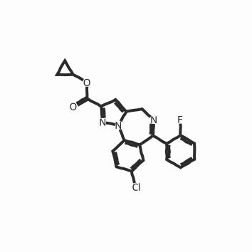 O=C(OC1CC1)c1cc2n(n1)-c1ccc(Cl)cc1C(c1ccccc1F)=NC2